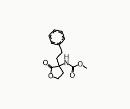 COC(=O)NC1(CCc2ccccc2)CCOC1=O